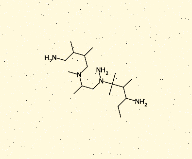 CCC(N)C(C)C(C)(C)N(N)CC(C)N(C)CC(C)C(C)CN